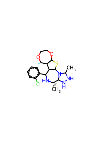 CC1NNC2[C@H](C)NC(c3c(F)cccc3Cl)C3C4COCCOC4SC3N12